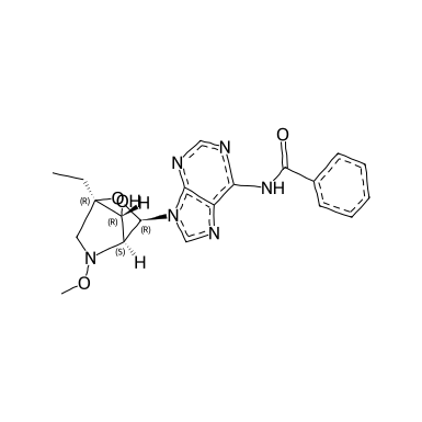 CC[C@]12CN(OC)[C@H]([C@H](n3cnc4c(NC(=O)c5ccccc5)ncnc43)O1)[C@H]2O